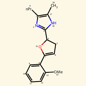 CCCc1nc(C2CC=C(c3ccccc3OC)O2)[nH]c1C